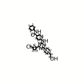 O=C(Nc1ccccc1)c1ccc(Nc2nc(-c3ccc(Cl)s3)nc(N3CCN(CCO)CC3)n2)nc1